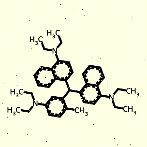 CCN(CC)c1ccc(C)c(C(c2ccc(N(CC)CC)c3ccccc23)c2ccc(N(CC)CC)c3ccccc23)c1